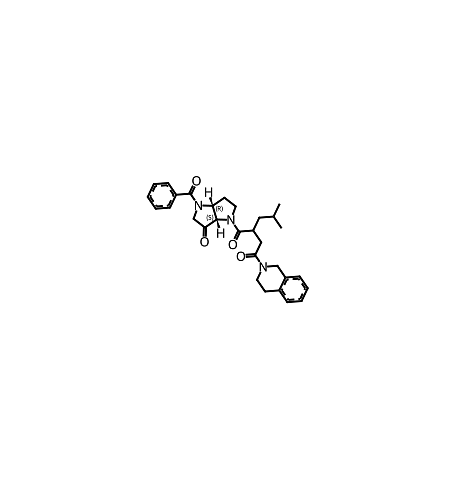 CC(C)CC(CC(=O)N1CCc2ccccc2C1)C(=O)N1CC[C@@H]2[C@H]1C(=O)CN2C(=O)c1ccccc1